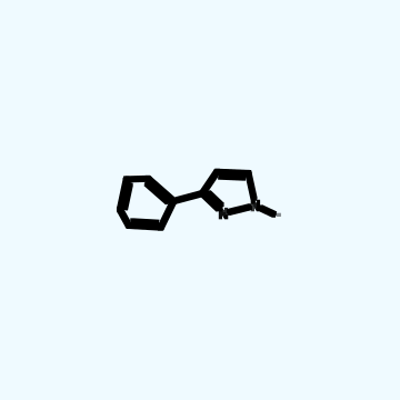 [CH2]n1ccc(-c2ccccc2)n1